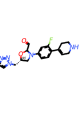 O=CC1O[C@@H](Cn2ccnn2)CN1c1ccc(C2=CCNCC2)c(F)c1